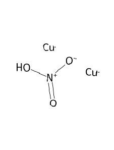 O=[N+]([O-])O.[Cu].[Cu]